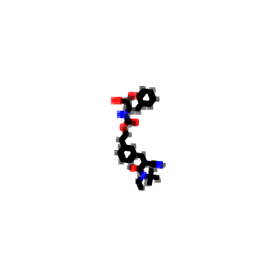 CCN(C(=O)C(C#N)Cc1cccc(CCOC(=O)N[C@@H](Cc2ccccc2)B(O)O)c1)C(C)(C)C